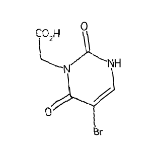 O=C(O)Cn1c(=O)[nH]cc(Br)c1=O